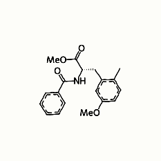 COC(=O)[C@H](Cc1cc(OC)ccc1C)NC(=O)c1ccccc1